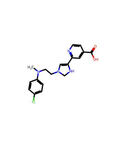 CN(CCN1C=C(c2cc(C(=O)O)ccn2)NC1)c1ccc(Cl)cc1